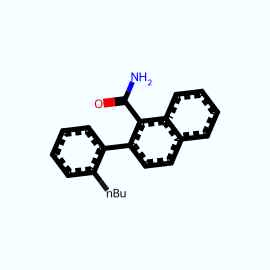 CCCCc1ccccc1-c1ccc2ccccc2c1C(N)=O